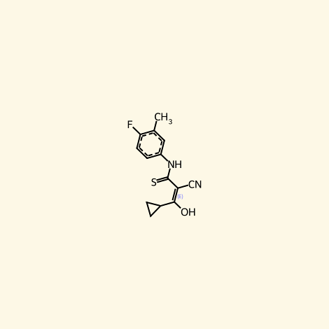 Cc1cc(NC(=S)/C(C#N)=C(/O)C2CC2)ccc1F